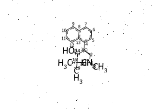 CNC[C@H](c1cccc2ccccc12)[C@H](O)C(C)(C)C